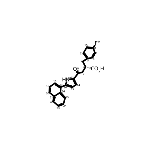 O=C(C[C@H](Cc1ccc(F)cc1)C(=O)O)c1ccc(-c2cccc3ccccc23)[nH]1